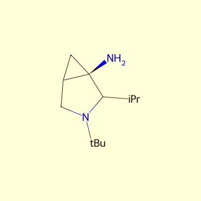 CC(C)C1N(C(C)(C)C)CC2C[C@@]21N